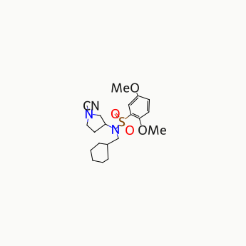 COc1ccc(OC)c(S(=O)(=O)N(CC2CCCCC2)C2CCN(C#N)C2)c1